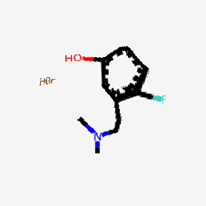 Br.CN(C)Cc1cc(O)ccc1F